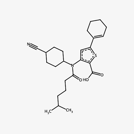 CC(C)CCCC(=O)N(c1cc(C2=CCCCC2)sc1C(=O)O)C1CCC(C#N)CC1